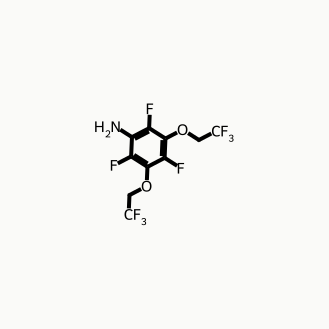 Nc1c(F)c(OCC(F)(F)F)c(F)c(OCC(F)(F)F)c1F